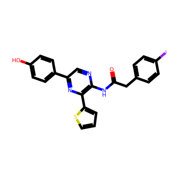 O=C(Cc1ccc(I)cc1)Nc1ncc(-c2ccc(O)cc2)nc1-c1cccs1